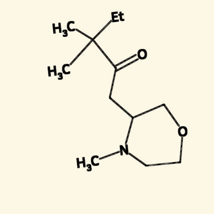 CCC(C)(C)C(=O)CC1COCCN1C